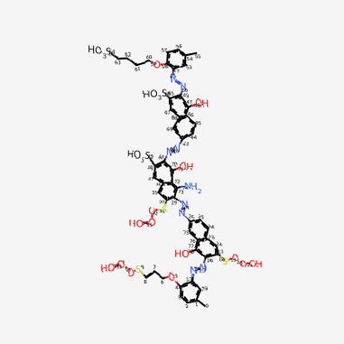 Cc1ccc(OCCCSOOO)c(N=Nc2c(SOOO)cc3ccc(N=Nc4c(SOOO)cc5cc(S(=O)(=O)O)c(N=Nc6ccc7c(O)c(N=Nc8cc(C)ccc8OCCCCS(=O)(=O)O)c(S(=O)(=O)O)cc7c6)c(O)c5c4N)cc3c2O)c1